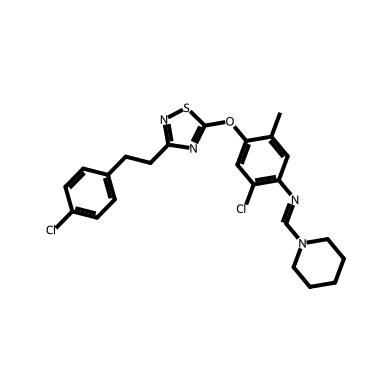 Cc1cc(N=CN2CCCCC2)c(Cl)cc1Oc1nc(CCc2ccc(Cl)cc2)ns1